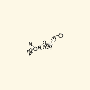 N#Cc1cc(N2CCC(O)(C(=O)NCCC3CCN(Cc4ccccc4)CC3)CC2)ccc1OC(F)(F)F